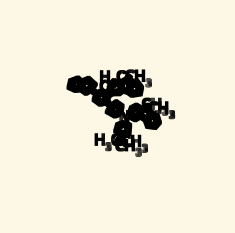 CC(C)(C)c1ccc(N(c2ccc(-c3ccc(-c4ccc5ccccc5c4)c4oc5cc6c(cc5c34)-c3ccccc3C6(C)C)cc2)c2ccc3c(c2)-c2ccccc2C3(C)C)cc1